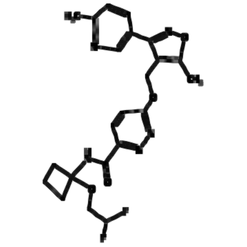 Cc1ccc(-c2noc(C)c2COc2ccc(C(=O)NC3(OCC(F)F)CCC3)nn2)cn1